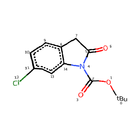 CC(C)(C)OC(=O)N1C(=O)Cc2ccc(Cl)cc21